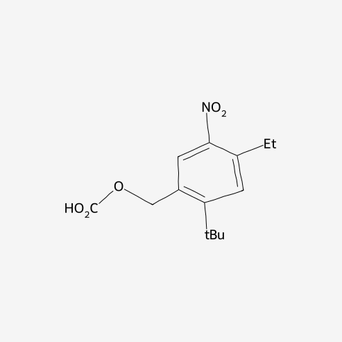 CCc1cc(C(C)(C)C)c(COC(=O)O)cc1[N+](=O)[O-]